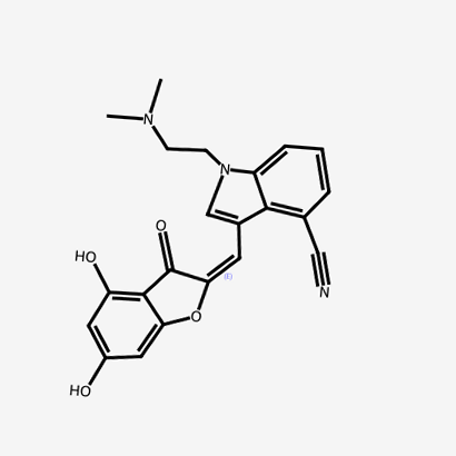 CN(C)CCn1cc(/C=C2/Oc3cc(O)cc(O)c3C2=O)c2c(C#N)cccc21